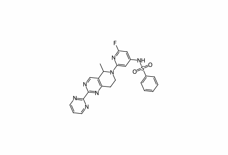 CC1c2cnc(-c3ncccn3)nc2CCN1c1cc(NS(=O)(=O)c2ccccc2)cc(F)n1